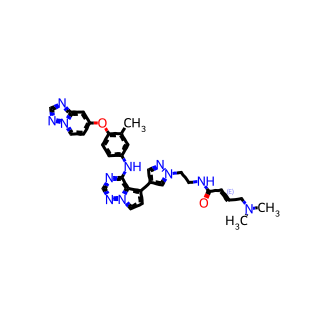 Cc1cc(Nc2ncnn3ccc(-c4cnn(CCNC(=O)/C=C/CN(C)C)c4)c23)ccc1Oc1ccn2ncnc2c1